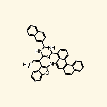 C/C=C(/C1=NC(c2cccc3c2ccc2ccc4ccccc4c23)NC(c2ccc3ccccc3c2)N1)c1c(N)oc2ccccc12